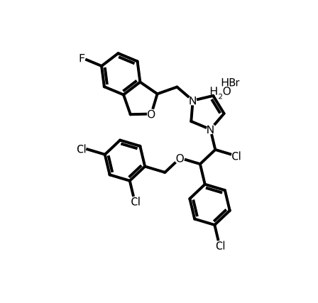 Br.Fc1ccc2c(c1)COC2CN1C=CN(C(Cl)C(OCc2ccc(Cl)cc2Cl)c2ccc(Cl)cc2)C1.O